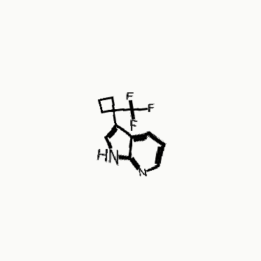 FC(F)(F)C1(c2c[nH]c3ncccc23)CCC1